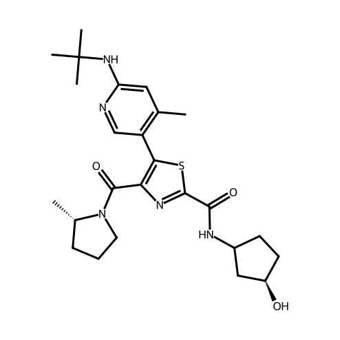 Cc1cc(NC(C)(C)C)ncc1-c1sc(C(=O)NC2CC[C@@H](O)C2)nc1C(=O)N1CCC[C@@H]1C